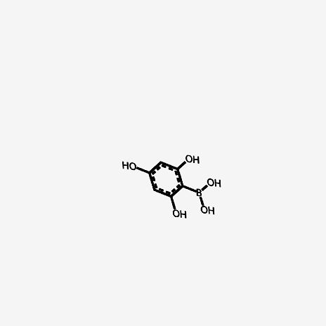 OB(O)c1c(O)cc(O)cc1O